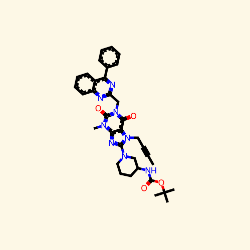 CC#CCn1c(N2CCCC(NC(=O)OC(C)(C)C)C2)nc2c1c(=O)n(Cc1nc(-c3ccccc3)c3ccccc3n1)c(=O)n2C